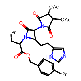 CC(=O)OC1C(=O)N(C2C(=O)N(C(CC(C)C)C(=O)OCc3ccc(C(C)C)cc3)C2CCc2cnc[nH]2)C(=O)C1OC(C)=O